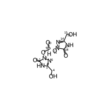 O=c1[nH]c(CO)nn1O[PH](=O)On1nc(CO)[nH]c1=O